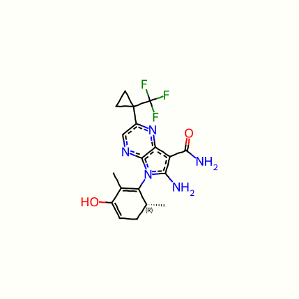 CC1=C(n2c(N)c(C(N)=O)c3nc(C4(C(F)(F)F)CC4)cnc32)[C@H](C)CC=C1O